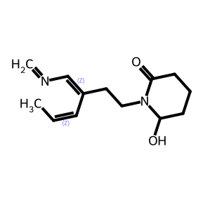 C=N/C=C(\C=C/C)CCN1C(=O)CCCC1O